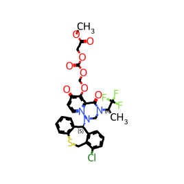 COC(=O)COC(=O)OCOc1c2n(ccc1=O)N([C@@H]1c3ccccc3SCc3c(Cl)cccc31)CN([C@H](C)C(F)(F)F)C2=O